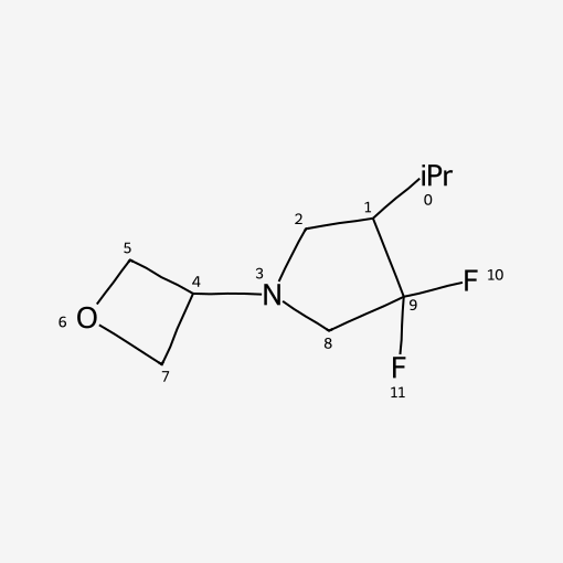 CC(C)C1CN(C2COC2)CC1(F)F